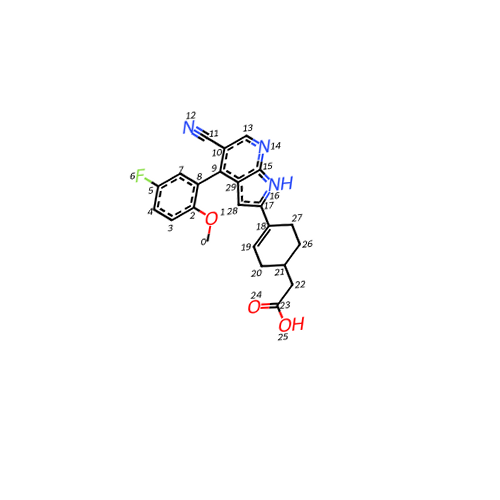 COc1ccc(F)cc1-c1c(C#N)cnc2[nH]c(C3=CCC(CC(=O)O)CC3)cc12